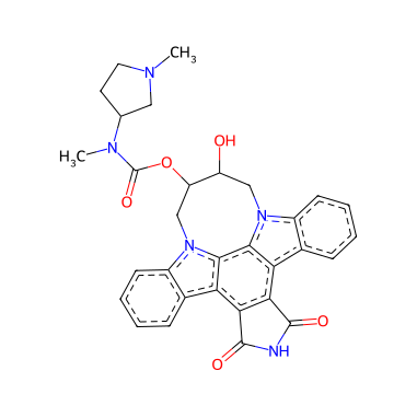 CN1CCC(N(C)C(=O)OC2Cn3c4ccccc4c4c5c(c6c7ccccc7n(c6c43)CC2O)C(=O)NC5=O)C1